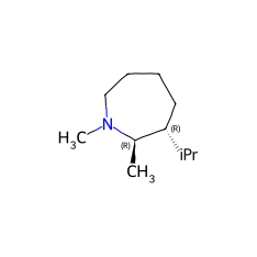 CC(C)[C@H]1CCCCN(C)[C@@H]1C